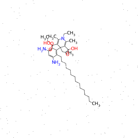 CCCCCCCCCCCCCCCc1c(N)cc(N)c(OCC)c1C1(CC)C(C(=O)O)=C(C)N(CC)C(C)=C1C(=O)O